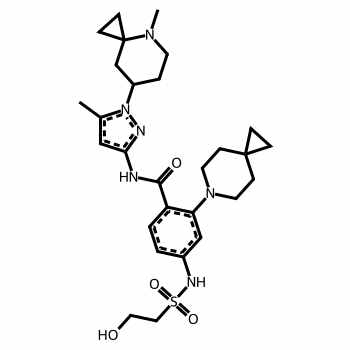 Cc1cc(NC(=O)c2ccc(NS(=O)(=O)CCO)cc2N2CCC3(CC2)CC3)nn1C1CCN(C)C2(CC2)C1